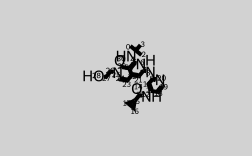 CC(C)(C)Nc1nc(Nc2cc(NC(=O)C3CC3)ccn2)cc2ccn(CCO)c(=O)c12